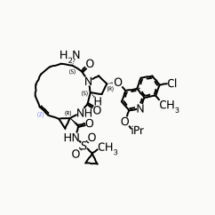 Cc1c(Cl)ccc2c(O[C@@H]3C[C@H]4C(=O)N[C@]5(C(=O)NS(=O)(=O)C6(C)CC6)CC5/C=C\CCCCC[C@H](N)C(=O)N4C3)cc(OC(C)C)nc12